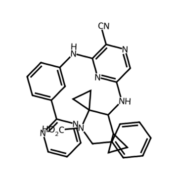 N#Cc1ncc(NC(C2CC2)C2(N(Cc3ccccc3)C(=O)O)CC2)nc1Nc1cccc(-c2ncccn2)c1